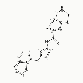 O=C(Nc1nnc(Cc2cccc3ccccc23)s1)c1ccc2c(c1)CCNC2